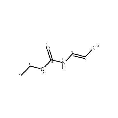 CCOC(=O)NC=CCl